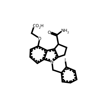 NC(=O)C1CCc2c1c1c(OCC(=O)O)cccc1n2Cc1ccccc1I